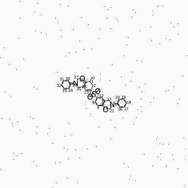 CC1CC(S(=O)(=O)c2ccc3c(c2)CN(c2ccccc2)CO3)=CC2=C1OCN(c1ccccc1)C2